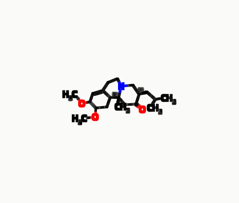 COC1C=C2CCN3C[C@@H](CC(C)C)C(=O)C[C@]3(C)C2CC1OC